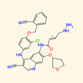 N#Cc1ccccc1COc1ccc(Nc2c(C#N)cnc3cc(OC4CCOC4)c(NC(=O)/C=C/CNN)cc23)cc1Cl